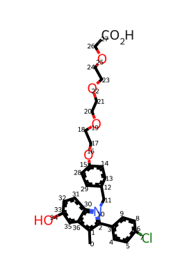 Cc1c(-c2ccc(Cl)cc2)n(Cc2ccc(OCCOCCOCCOCC(=O)O)cc2)c2ccc(O)cc12